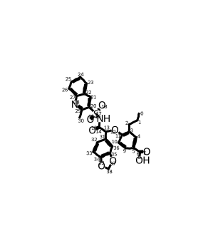 CCCc1cc(C(=O)O)ccc1OC(C(=O)NS(=O)(=O)c1cc2ccccc2nc1C)c1ccc2c(c1)OCO2